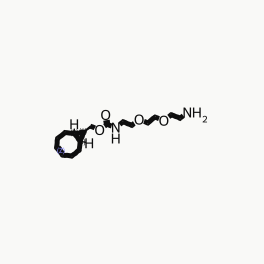 NCCOCCOCCNC(=O)OC[C@@H]1[C@@H]2CC/C=C\CC[C@@H]21